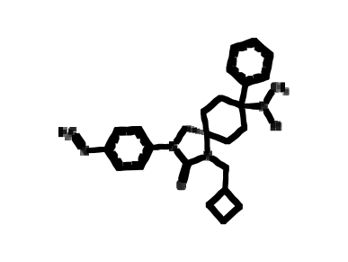 C=Nc1ccc(N2C[C@]3(CC[C@](c4ccccc4)(N(C)CC)CC3)N(CC3CCC3)C2=O)cc1